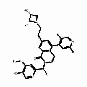 CCOc1cc([C@H](C)N2CCc3c(cc(CCN4C[C@@H](O)[C@H]4C)cc3-c3cc(C)ncc3C)C2=O)ncc1C#N